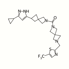 O=C(N1CC2(CC(c3cc(C4CC4)n[nH]3)C2)C1)N1CC2(CN(Cc3ncc(C(F)(F)F)s3)C2)C1